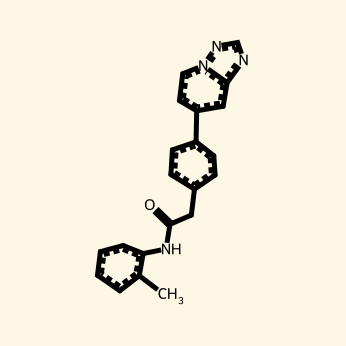 Cc1ccccc1NC(=O)Cc1ccc(-c2ccn3ncnc3c2)cc1